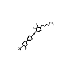 CCCCCc1ccc(C#Cc2ccc(-c3ccc(C4CO4)c(F)c3)cc2)c(F)c1F